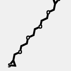 C(COCCOCC1CS1)OCCOCC1CS1